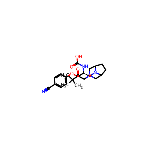 CC(C)(C)C(=O)CN1CC2CCC(C1)N2C[C@@H](COc1ccc(C#N)cc1)NC(=O)O